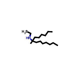 BCNC(C)(CCCCCC)CCCCCCC